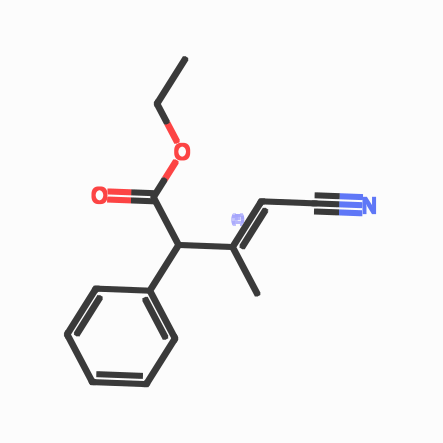 CCOC(=O)C(/C(C)=C/C#N)c1ccccc1